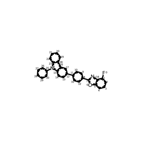 Fc1cccc2oc(-c3ccc(-c4ccc5c(c4)c4ccccc4n5-c4ccccc4)cc3)nc12